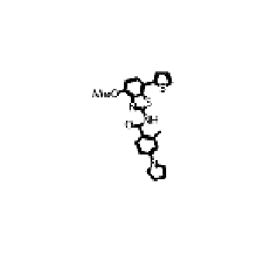 COc1ccc(-c2cccs2)c2sc(NC(=O)c3ccc(N4CCCC4)cc3C)nc12